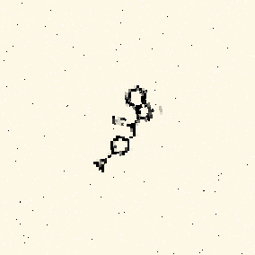 N#C/C(=C\c1ccc(C2CC2)cc1)c1c[nH]c2ccccc12